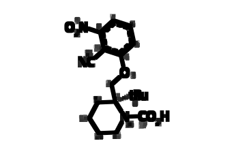 CC(C)(C)[C@@]1(COc2cccc([N+](=O)[O-])c2C#N)CCCCN1C(=O)O